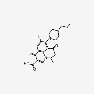 CCCN1CCN(c2c(F)cc3c(=O)c(C(=O)O)cn4c3c2C(=O)CC4C)CC1